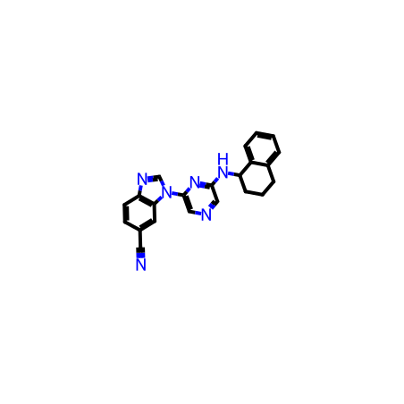 N#Cc1ccc2ncn(-c3cncc(NC4CCCc5ccccc54)n3)c2c1